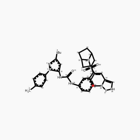 Cc1ccc(-n2nc(C(C)(C)C)cc2NC(=O)Nc2cccc(CC3CC4CCC(C3)N4S(=O)(=O)C3=CC4=CNSN4C=C3)c2)cc1